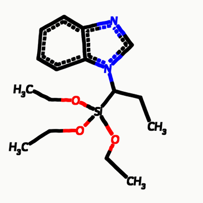 CCO[Si](OCC)(OCC)C(CC)n1cnc2ccccc21